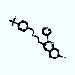 Oc1ccc2cc(CCNCc3ccc(C(F)(F)F)cc3)c(-c3ccsc3)nc2c1